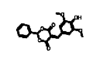 COc1cc(C=C2C(=O)OC(c3ccccc3)OC2=O)cc(OC)c1O